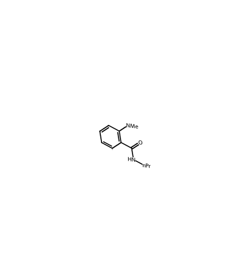 CCCNC(=O)c1[c]cccc1NC